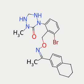 C/C(=N/OCc1c(Br)cccc1N1NCNN(C)C1=O)c1ccc2c(c1)CCCC2